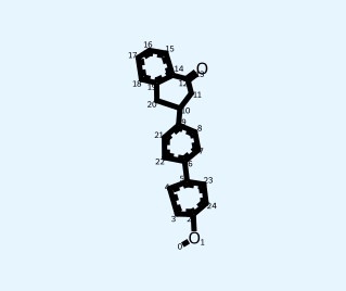 COc1ccc(-c2ccc(C3CC(=O)c4ccccc4C3)cc2)cc1